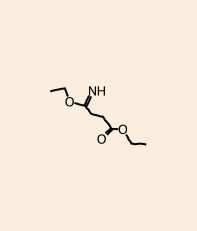 CCOC(=N)CCC(=O)OCC